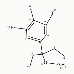 CCC(CC)(O[SiH3])c1cc(F)c(F)c(F)c1